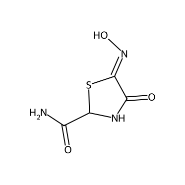 NC(=O)C1NC(=O)C(=NO)S1